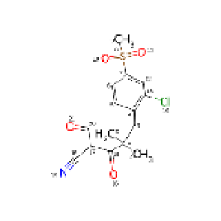 CC(C)(Cc1ccc(S(C)(=O)=O)cc1Cl)C(=O)C(C#N)C=O